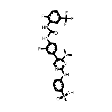 CN(C)c1nc(Nc2cccc(S(C)(=N)=O)c2)ncc1-c1ccc(NC(=O)Nc2cc(C(F)(F)F)ccc2F)c(F)c1